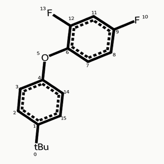 CC(C)(C)c1ccc(Oc2ccc(F)cc2F)cc1